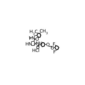 Cc1cccc(CN(C(=O)C2CNCC[C@@H]2NC(=O)c2ccc(OCCOc3c(F)cccc3F)cc2)C2CC2)c1C.Cl